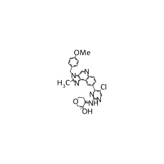 COc1ccc(Cn2c(C)nc3c4cc(-c5nc(N[C@@H]6CCOC[C@H]6O)ncc5Cl)ccc4ncc32)cc1